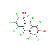 Oc1c(Cl)c(Cl)c2c(Cl)c3c(c(Cl)c2c1Cl)C(O)(Cl)C(Cl)C(Cl)=C3Cl